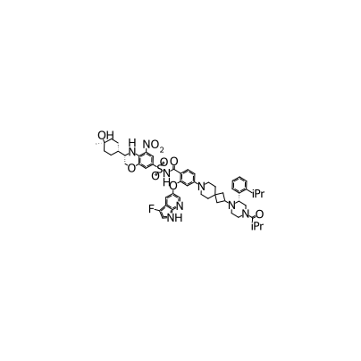 CC(C)C(=O)N1CCN(C2CC3(CCN(c4ccc(C(=O)NS(=O)(=O)c5cc6c(c([N+](=O)[O-])c5)N[C@@H]([C@H]5CC[C@](C)(O)CC5)CO6)c(Oc5cnc6[nH]cc(F)c6c5)c4)CC3)C2)[C@H](c2ccccc2C(C)C)C1